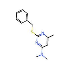 Cc1cc(N(C)C)nc(SCc2ccccc2)n1